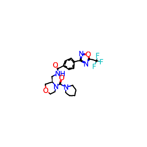 O=C(NC[C@@H]1COCCN1C(=O)N1CCCCC1)c1ccc(-c2noc(C(F)(F)F)n2)cc1